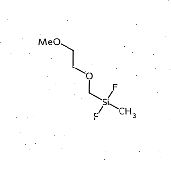 COCCOC[Si](C)(F)F